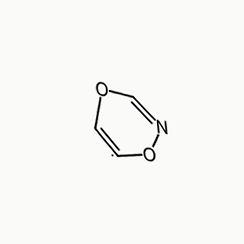 [C]1=COC=NO1